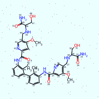 COc1cc(C(=O)Nc2cccc(-c3cccc(NC(=O)c4cc(OC)c(CNC(CO)C(N)=O)cn4)c3C)c2C)ncc1CNC(CO)C(N)=O